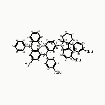 Cc1cc2c3c(c1)N(c1ccc(C(C)(C)C)cc1)c1cc(N4c5ccc(C(C)(C)C)cc5C5(c6ccc(C(C)(C)C)cc6)CCCCC45C)ccc1B3c1ccccc1N2c1ccccc1